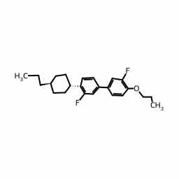 CCCOc1ccc(-c2ccc([C@H]3CC[C@H](CCC)CC3)c(F)c2)cc1F